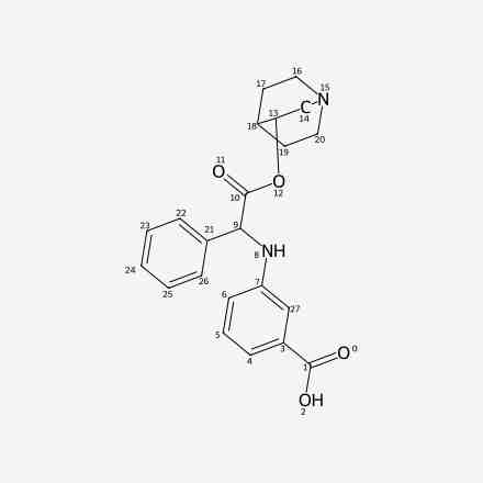 O=C(O)c1cccc(NC(C(=O)OC2CN3CCC2CC3)c2ccccc2)c1